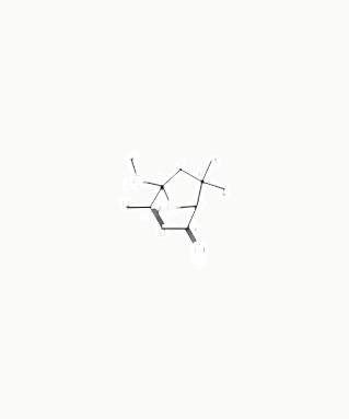 COC12CC(C)(C)C(O1)C(=O)C=C2C